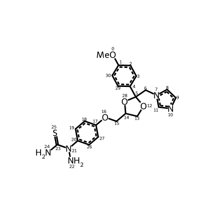 COc1ccc(C2(Cn3ccnc3)OCC(COc3ccc(N(N)C(N)=S)cc3)O2)cc1